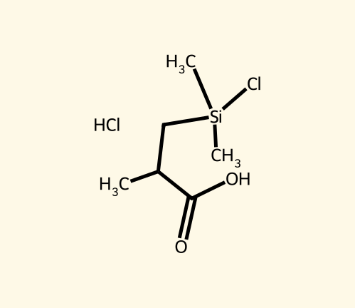 CC(C[Si](C)(C)Cl)C(=O)O.Cl